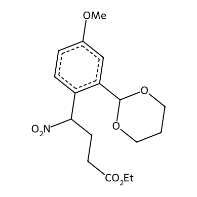 CCOC(=O)CCC(c1ccc(OC)cc1C1OCCCO1)[N+](=O)[O-]